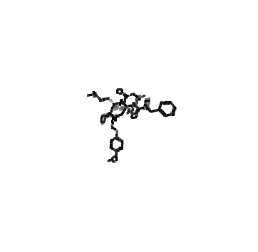 COc1ccc(CCN2C[C@H]3N(C(=O)CN(C)N3C(=O)NCc3ccccc3)[C@@H](CCSC)C2=O)cc1